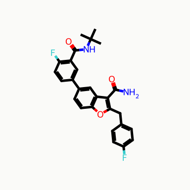 CC(C)(C)NC(=O)c1cc(-c2ccc3oc(Cc4ccc(F)cc4)c(C(N)=O)c3c2)ccc1F